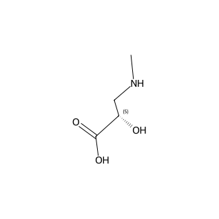 CNC[C@H](O)C(=O)O